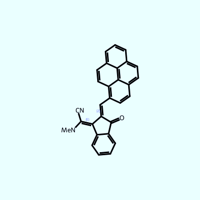 CN/C(C#N)=C1/C(=C/c2ccc3ccc4cccc5ccc2c3c45)C(=O)c2ccccc21